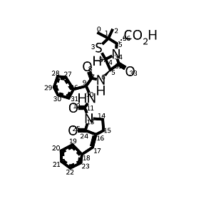 CC1(C)S[C@@H]2[C@H](NC(=O)C(NC(=O)N3CCC(=Cc4ccccc4)C3=O)c3ccccc3)C(=O)N2[C@H]1C(=O)O